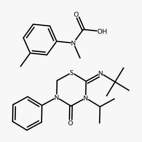 CC(C)N1C(=O)N(c2ccccc2)CSC1=NC(C)(C)C.Cc1cccc(N(C)C(=O)O)c1